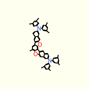 Cc1cc(C)cc(N(c2cc(C)cc(C)c2)c2ccc3cc4c(cc3c2)oc2c4cc(C)c3oc4cc5cc(N(c6cc(C)cc(C)c6)c6cc(C)cc(C)c6)ccc5cc4c32)c1